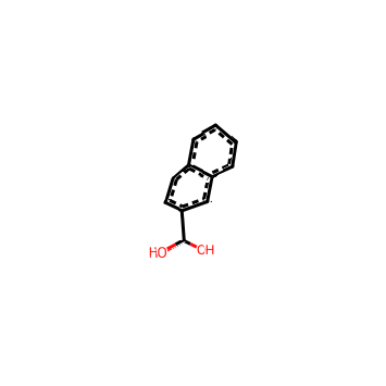 OC(O)c1[c]c2ccccc2cc1